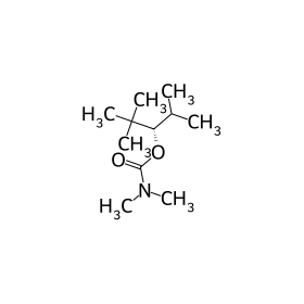 CC(C)[C@H](OC(=O)N(C)C)C(C)(C)C